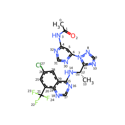 CC(=O)Nc1cc(-n2ncnc2[C@H](C)Nc2ncnc3c(C(F)(F)F)cc(Cl)cc23)ncn1